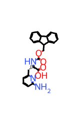 Nc1cccc(C[C@H](NC(=O)OCC2c3ccccc3-c3ccccc32)C(=O)O)n1